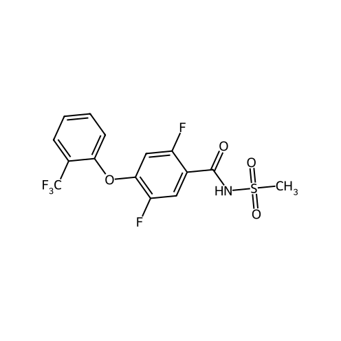 CS(=O)(=O)NC(=O)c1cc(F)c(Oc2ccccc2C(F)(F)F)cc1F